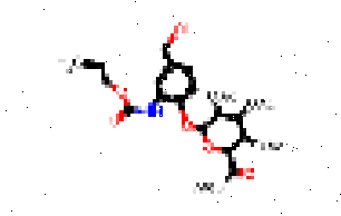 C=CCOC(=O)Nc1cc(CO)ccc1OC1OC(C(=O)OC)C(OC(C)=O)C(OC(C)=O)C1OC(C)=O